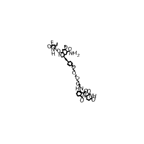 CC[C@@H]1[C@H](F)C(=O)N[C@@H]1COc1ncc(C#Cc2ccc(OCCOCCOCCOCCNc3cccc4c3C(=O)N(C3CCC(=O)NC3=O)C4=O)cc2)c2cc(C(N)=O)c(OC)cc12